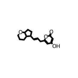 O=c1cc(O)cc(CC=CC2CCC3OCCCC23)o1